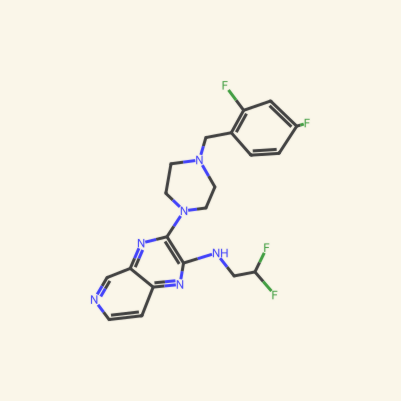 Fc1ccc(CN2CCN(c3nc4cnccc4nc3NCC(F)F)CC2)c(F)c1